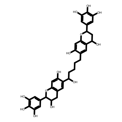 Oc1cc2c(cc1CCCCC(O)c1cc3c(cc1O)OC(c1cc(O)c(O)c(O)c1)C(O)C3)C(O)CC(c1cc(O)c(O)c(O)c1)O2